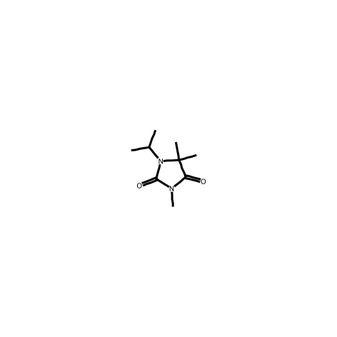 CC(C)N1C(=O)N(C)C(=O)C1(C)C